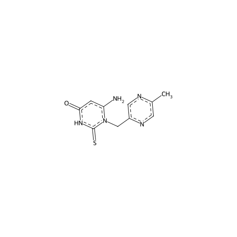 Cc1cnc(Cn2c(N)cc(=O)[nH]c2=S)cn1